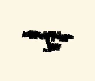 CC(=O)N[C@H]1[C@H](OCCOCCOCCOCC(=O)NCCCC[C@H](NC(=O)COCCOCCOCCO[C@@H]2O[C@H](COC(C)=O)[C@H](OC(C)=O)[C@H](OC(C)=O)[C@H]2NC(C)=O)C(=O)N[C@@H](CCCCNC(=O)COCCOCCOCCO[C@@H]2O[C@H](COC(C)=O)[C@H](OC(C)=O)[C@H](OC(C)=O)[C@H]2NC(C)=O)C(=O)N[C@@H](C)C(=O)O)O[C@H](COC(C)=O)[C@H](OC(C)=O)[C@@H]1OC(C)=O